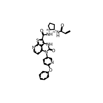 C=CC(=O)N[C@H]1CCC[C@H]1NC(=O)c1sc2nccc3c2c1NC(=O)N3c1ccc(Oc2ccccc2)nc1